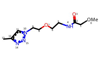 COCC(=O)NCCOCCn1cc(C)nn1